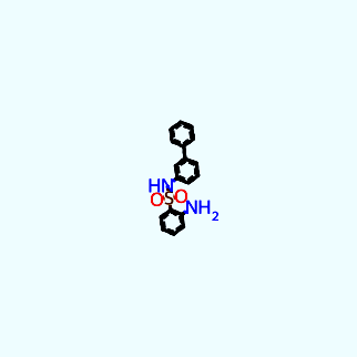 Nc1ccccc1S(=O)(=O)Nc1cccc(-c2ccccc2)c1